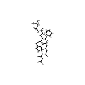 CC(I)CC(C)CC(C)CCCC(OCc1ccccc1)OC(CCCC(C)CC(C)CC(C)I)OCc1ccccc1